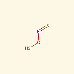 S=POS